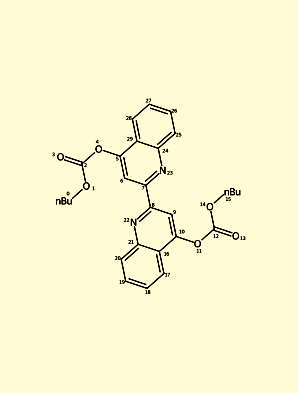 CCCCOC(=O)Oc1cc(-c2cc(OC(=O)OCCCC)c3ccccc3n2)nc2ccccc12